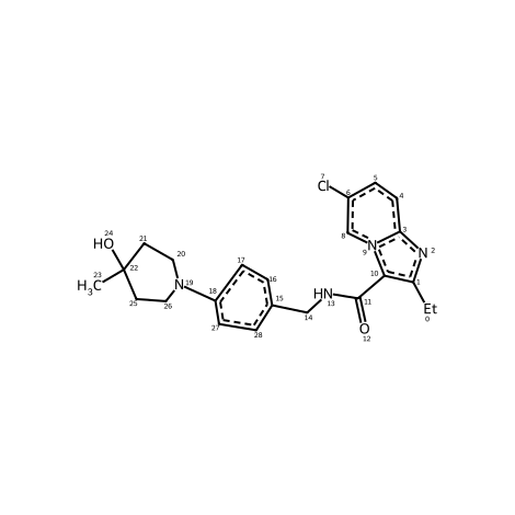 CCc1nc2ccc(Cl)cn2c1C(=O)NCc1ccc(N2CCC(C)(O)CC2)cc1